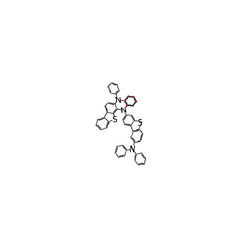 c1ccc(N(c2ccccc2)c2ccc3sc4cc(N(c5ccccc5)c5c(N(c6ccccc6)c6ccccc6)ccc6c5sc5ccccc56)ccc4c3c2)cc1